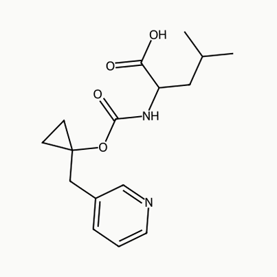 CC(C)CC(NC(=O)OC1(Cc2cccnc2)CC1)C(=O)O